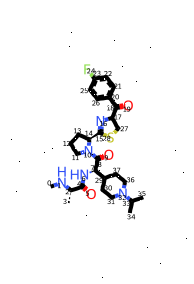 CN[C@@H](C)C(=O)N[C@H](C(=O)N1CCC[C@H]1C1=NC(C(=O)c2ccc(F)cc2)CS1)C1CCN(C(C)C)CC1